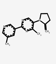 C=C1CCCN1c1cnc(-c2cncc(C)c2)nc1C(F)(F)F